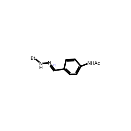 CCN/N=C/c1ccc(NC(C)=O)cc1